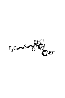 CCN(C(=O)CCSCCCC(F)(F)F)c1cn(-c2ccc[n+]([O-])c2)nc1Cl